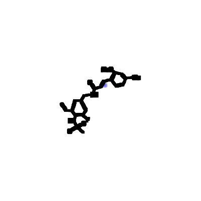 C=Cc1cc(CNC(=O)/C=C/c2ccc(C(C)(C)C)cc2OC)cc(F)c1NS(C)(=O)=O